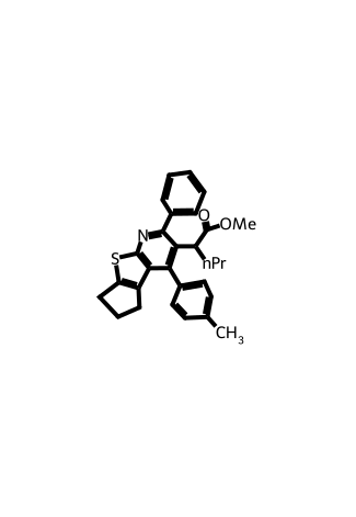 CCCC(C(=O)OC)c1c(-c2ccccc2)nc2sc3c(c2c1-c1ccc(C)cc1)CCC3